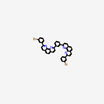 Brc1cccc(-c2ccc3ccc4ccc(-c5cccc(-c6ccc7ccc8ccc(-c9cccc(Br)c9)nc8c7n6)c5)nc4c3n2)c1